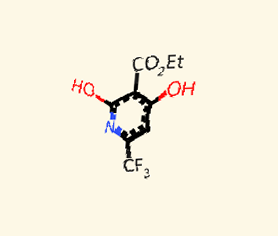 CCOC(=O)c1c(O)cc(C(F)(F)F)nc1O